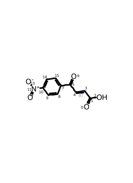 O=C(O)/C=C/C(=O)c1ccc([N+](=O)[O-])cc1